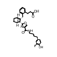 O=C(O)CCc1ccccc1C[C@@H]1[C@H](c2nc(C(=O)NCCCCc3ccc(O)c(I)c3)co2)[C@H]2CC[C@@H]1O2